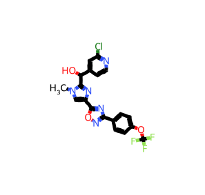 Cn1cc(-c2nc(-c3ccc(OC(F)(F)F)cc3)no2)nc1C(O)c1ccnc(Cl)c1